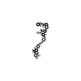 Cc1c(OC2CCC(CCCCN3CCN(c4ccc5c(C6CCC(=O)NC6=O)nn(C)c5c4C)CC3)CC2)cccc1-c1ccc(N2CCc3cccc(C(=O)Nc4nc5ccccc5s4)c3C2)nc1C(=O)OC(C)(C)C